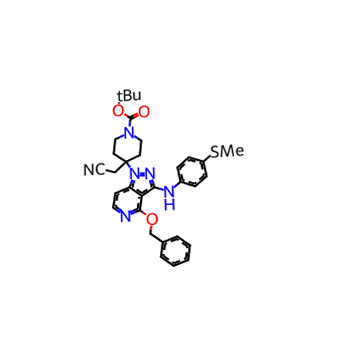 CSc1ccc(Nc2nn(C3(CC#N)CCN(C(=O)OC(C)(C)C)CC3)c3ccnc(OCc4ccccc4)c23)cc1